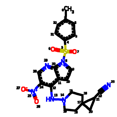 Cc1ccc(S(=O)(=O)n2ccc3c(NN4CCC5(CC4)CC5C#N)c([N+](=O)[O-])cnc32)cc1